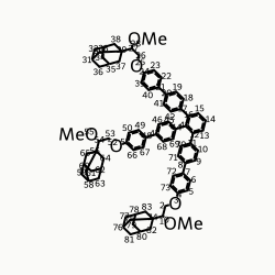 COC(COc1ccc(-c2ccc(-c3cccc(-c4ccc(-c5ccc(OCC(OC)C67CC8CC(CC(C8)C6)C7)cc5)cc4)c3-c3ccc(-c4ccc(OCC(OC)C56CC7CC(CC(C7)C5)C6)cc4)cc3)cc2)cc1)C12CC3CC(CC(C3)C1)C2